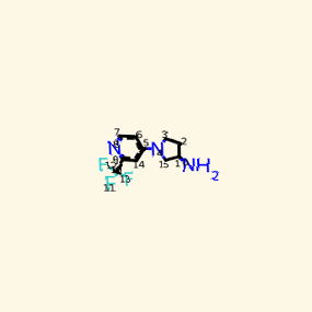 NC1CCN(c2ccnc(C(F)(F)F)c2)C1